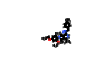 CCOc1ccc(-n2c(C)c3c(C)nnc(NCc4ccc(C)cc4)c3c2C)c(OC)c1